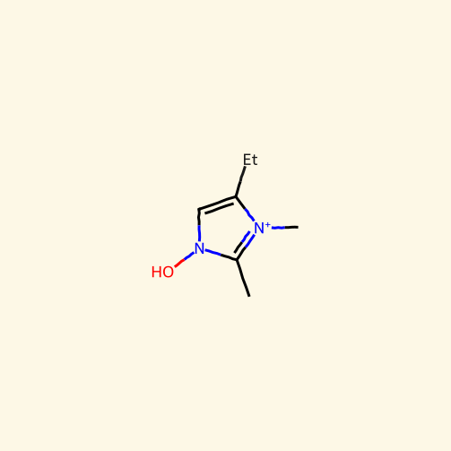 CCc1cn(O)c(C)[n+]1C